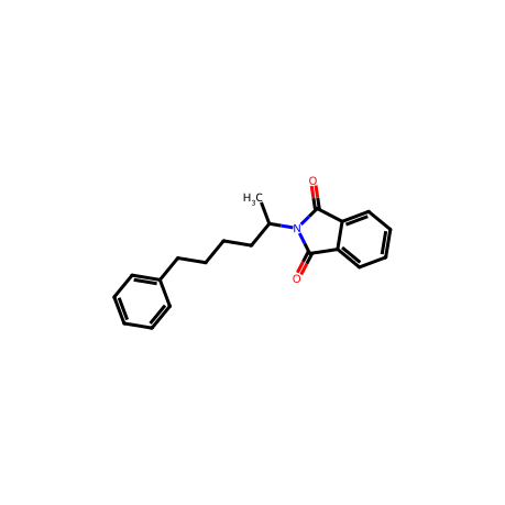 CC(CCCCc1ccccc1)N1C(=O)c2ccccc2C1=O